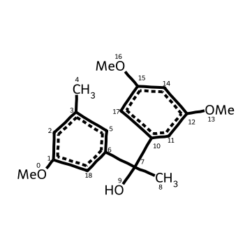 COc1cc(C)cc(C(C)(O)c2cc(OC)cc(OC)c2)c1